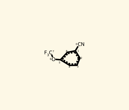 N#Cc1[c]ccc(OC(F)(F)F)c1